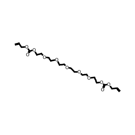 C=CCOC(=O)OCCOCCOCCOCCOCCOCCOC(=O)OCC=C